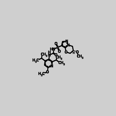 COc1cc(C(C)C)c(NC(=O)NS(=O)(=O)c2cnn3c2OC[C@@H](OC)C3)c(C(C)C)n1